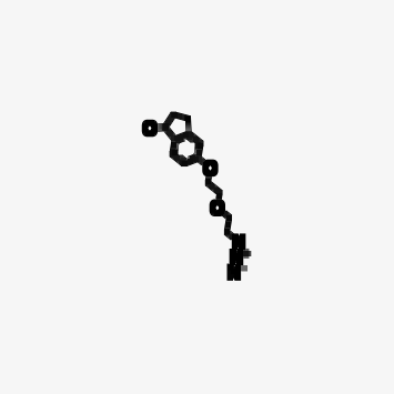 [N-]=[N+]=NCCOCCOc1ccc2c(c1)CCC2=O